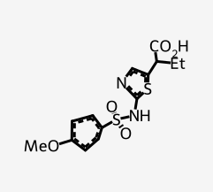 CCC(C(=O)O)c1cnc(NS(=O)(=O)c2ccc(OC)cc2)s1